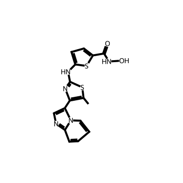 Cc1sc(Nc2ccc(C(=O)NO)s2)nc1-c1cnc2ccccn12